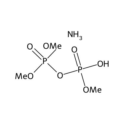 COP(=O)(O)OP(=O)(OC)OC.N